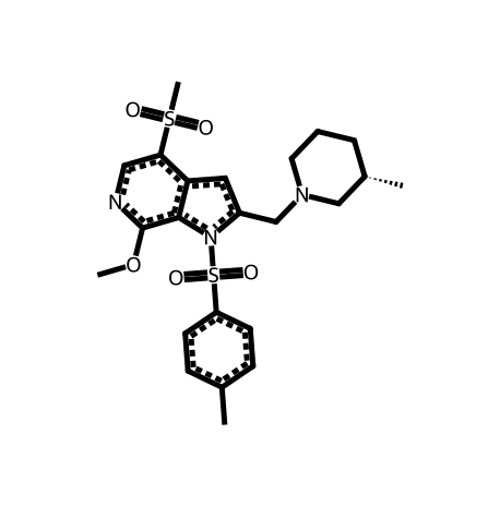 COc1ncc(S(C)(=O)=O)c2cc(CN3CCC[C@H](C)C3)n(S(=O)(=O)c3ccc(C)cc3)c12